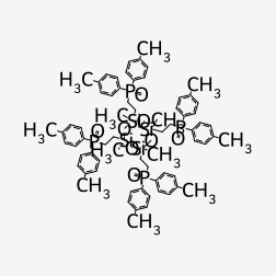 Cc1ccc(P(=O)(CC[Si]2(C)O[Si](C)(CCP(=O)(c3ccc(C)cc3)c3ccc(C)cc3)O[Si](C)(CCP(=O)(c3ccc(C)cc3)c3ccc(C)cc3)O[Si](C)(CCP(=O)(c3ccc(C)cc3)c3ccc(C)cc3)O2)c2ccc(C)cc2)cc1